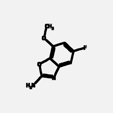 COc1cc(F)cc2nc(N)oc12